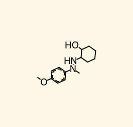 COc1ccc(N(C)NC2CCCCC2O)cc1